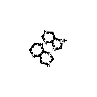 c1cnc2ncncc2n1.c1ncc2[nH]cnc2n1